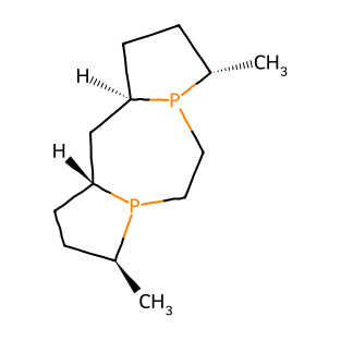 C[C@H]1CC[C@@H]2C[C@H]3CC[C@H](C)P3CCP21